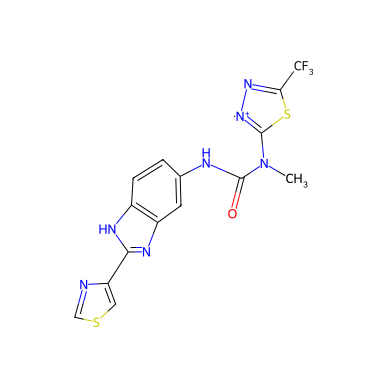 CN(C(=O)Nc1ccc2[nH]c(-c3cscn3)nc2c1)C1=[N+]N=C(C(F)(F)F)S1